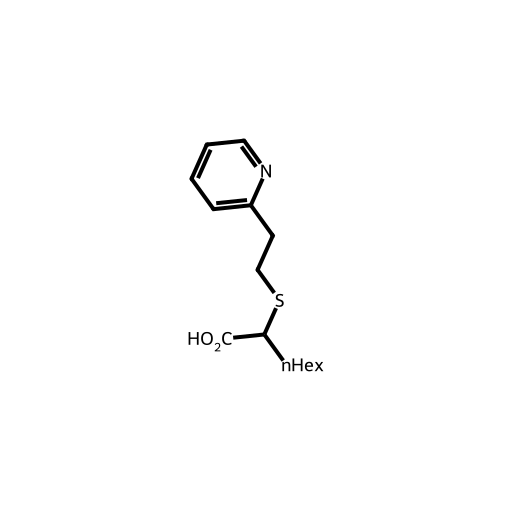 CCCCCCC(SCCc1ccccn1)C(=O)O